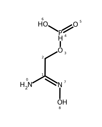 NC(CO[PH](=O)O)=NO